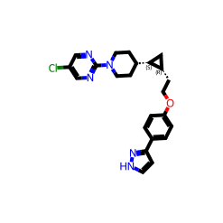 Clc1cnc(N2CCC([C@@H]3C[C@@H]3CCOc3ccc(-c4cc[nH]n4)cc3)CC2)nc1